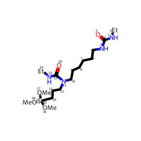 CCNC(=O)NCCCCCCN(CCC[Si](OC)(OC)OC)C(=O)NCC